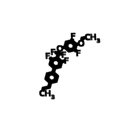 CCCc1ccc(-c2cc(F)c(C(F)(F)Oc3cc(F)c(OCC)c(F)c3)c(F)c2)cc1